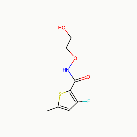 Cc1cc(F)c(C(=O)NOCCO)s1